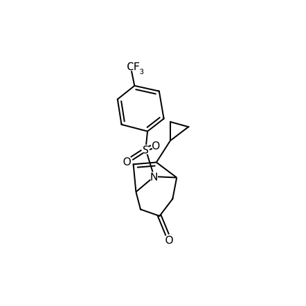 O=C1CC2C=C(C3CC3)C(C1)N2S(=O)(=O)c1ccc(C(F)(F)F)cc1